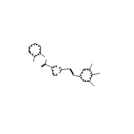 Cc1cc(/C=C/c2ncc(C(=O)Oc3ccccc3F)o2)cc(C)c1O